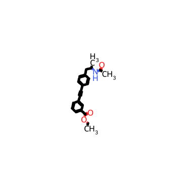 CCOC(=O)c1cccc(C#Cc2ccc(CC(C)NC(C)=O)cc2)c1